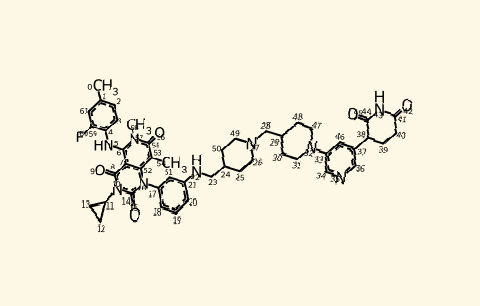 Cc1ccc(Nc2c3c(=O)n(C4CC4)c(=O)n(-c4cccc(NCC5CCN(CC6CCN(c7cncc(C8CCC(=O)NC8=O)c7)CC6)CC5)c4)c3c(C)c(=O)n2C)c(F)c1